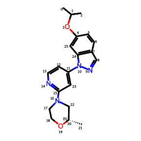 CC(C)Oc1ccc2cnn(-c3ccnc(N4CCO[C@@H](C)C4)c3)c2c1